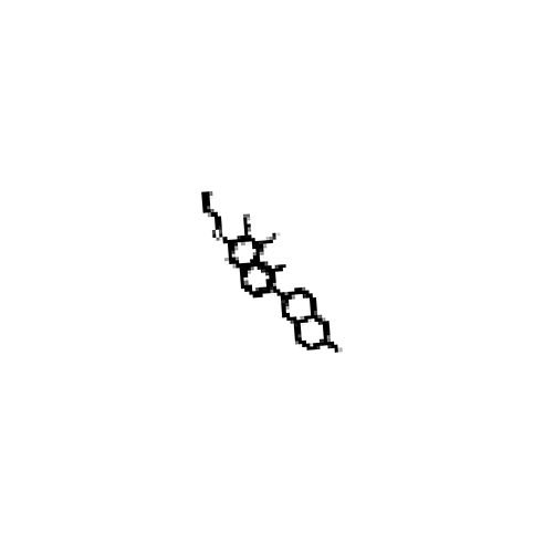 C=CCOc1cc2ccc(C3CCC4CC(C)CCC4C3)c(F)c2c(F)c1F